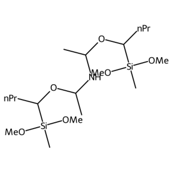 CCCC(OC(C)NC(C)OC(CCC)[Si](C)(OC)OC)[Si](C)(OC)OC